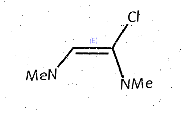 CN/C=C(/Cl)NC